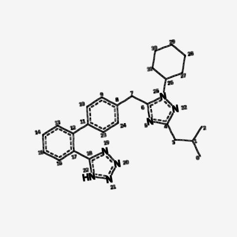 CC(C)Cc1nc(Cc2ccc(-c3ccccc3-c3nnn[nH]3)cc2)n(C2CCCCC2)n1